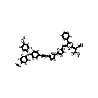 COC(=O)/C(C#N)=c1/nc(-c2ccccc2)c(=Cc2ccc(-c3ccc(C#Cc4ccc(N(c5ccc(OC)cc5)c5ccc(OC)cc5)cc4)s3)s2)s1